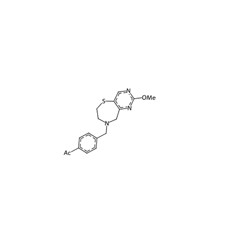 COc1ncc2c(n1)CN(Cc1ccc(C(C)=O)cc1)CCS2